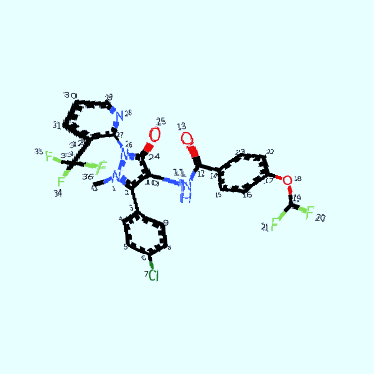 Cn1c(-c2ccc(Cl)cc2)c(NC(=O)c2ccc(OC(F)F)cc2)c(=O)n1-c1ncccc1C(F)(F)F